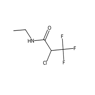 CCNC(=O)C(Cl)C(F)(F)F